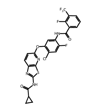 O=C(Nc1cc(Oc2ccc3nc(NC(=O)C4CC4)sc3n2)c(Cl)cc1F)c1cccc(C(F)(F)F)c1F